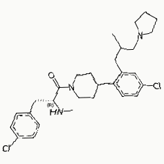 CN[C@H](Cc1ccc(Cl)cc1)C(=O)N1CCC(c2ccc(Cl)cc2CC(C)CN2CCCC2)CC1